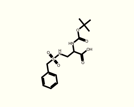 CC(C)(C)OC(=O)NC(CNS(=O)(=O)Cc1ccccc1)C(=O)O